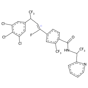 O=C(NC(c1ccccn1)C(F)(F)F)c1ccc(/C(F)=C/C(c2cc(Cl)c(Cl)c(Cl)c2)C(F)(F)F)cc1C(F)(F)F